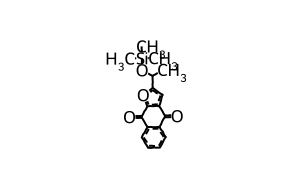 CC(O[Si](C)(C)C)c1cc2c(o1)C(=O)c1ccccc1C2=O